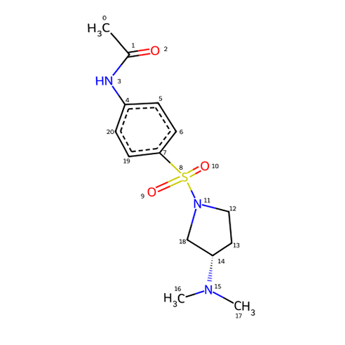 CC(=O)Nc1ccc(S(=O)(=O)N2CC[C@H](N(C)C)C2)cc1